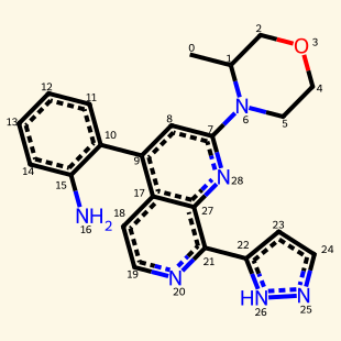 CC1COCCN1c1cc(-c2ccccc2N)c2ccnc(-c3ccn[nH]3)c2n1